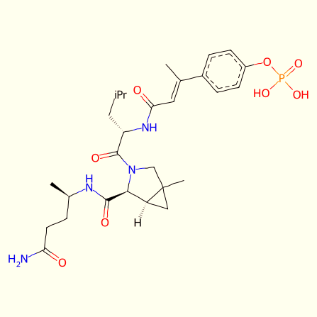 C/C(=C\C(=O)N[C@@H](CC(C)C)C(=O)N1CC2(C)C[C@H]2[C@H]1C(=O)N[C@H](C)CCC(N)=O)c1ccc(OP(=O)(O)O)cc1